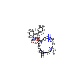 C1=Cc2cc3ccc(cc4nc(cc5ccc(cc1n2)[nH]5)C=C4)[nH]3.O=C(c1ccccc1)c1ccccc1[N+](=O)[O-]